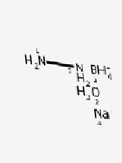 NN.O.[BH4-].[Na+]